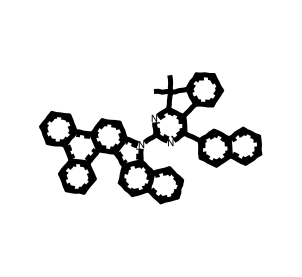 CC1(C)c2ccccc2-c2c(-c3ccc4ccccc4c3)nc(-n3c4ccc5c6ccccc6c6ccccc6c5c4c4ccc5ccccc5c43)nc21